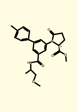 COCC(C)NC(=O)c1cc(-c2ccc(C)cc2)cc(N2C(=O)CC[C@H]2C(=O)OC)c1